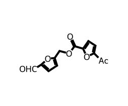 CC(=O)c1ccc(C(=O)OCc2ccc(C=O)o2)o1